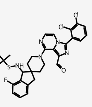 CC(C)(C)SNC1c2c(F)cccc2CC12CCN(c1nccn3c(-c4cccc(Cl)c4Cl)nc(C=O)c13)CC2